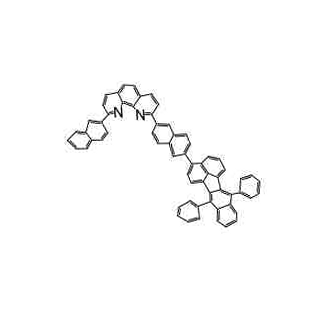 c1ccc(-c2c3c(c(-c4ccccc4)c4ccccc24)-c2ccc(-c4ccc5cc(-c6ccc7ccc8ccc(-c9ccc%10ccccc%10c9)nc8c7n6)ccc5c4)c4cccc-3c24)cc1